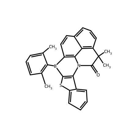 Cc1cccc(C)c1B1c2ccc3cccc4c3c2N(C(=O)C4(C)C)c2c1sc1ccccc21